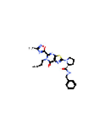 COCCn1c(-c2nc(C)no2)nc2sc(N3CCC[C@@H]3C(=O)NCc3ccccc3)nc2c1=O